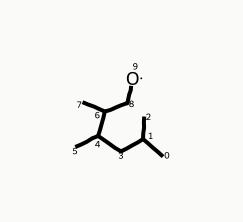 CC(C)CC(C)C(C)C[O]